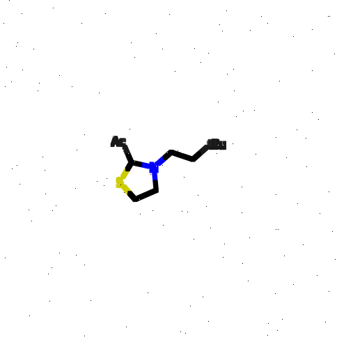 CC(=O)C1SCCN1CCC(C)(C)C